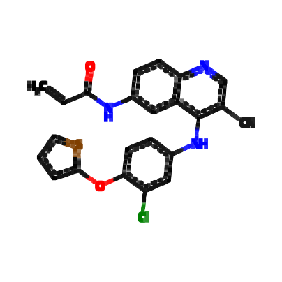 C=CC(=O)Nc1ccc2ncc(C#N)c(Nc3ccc(Oc4cccs4)c(Cl)c3)c2c1